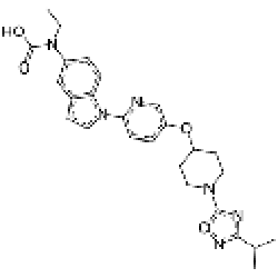 CCN(C(=O)O)c1ccc2c(ccn2-c2ccc(OC3CCN(c4nc(C(C)C)no4)CC3)cn2)c1